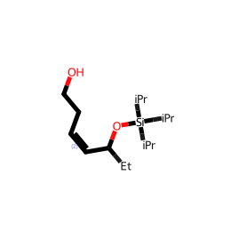 CCC(/C=C\CCO)O[Si](C(C)C)(C(C)C)C(C)C